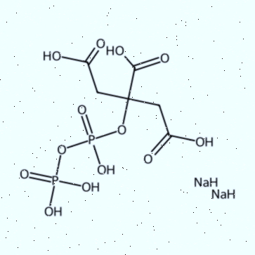 O=C(O)CC(CC(=O)O)(OP(=O)(O)OP(=O)(O)O)C(=O)O.[NaH].[NaH]